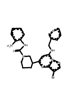 Nc1ccccc1NC(=O)N1CCCC(c2cc(NCc3cccnc3)n3ncc(Br)c3n2)C1